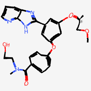 COC[C@H](C)Oc1cc(Oc2ccc(C(=O)N(C)CCO)cc2)cc(-c2nc3cccnc3[nH]2)c1